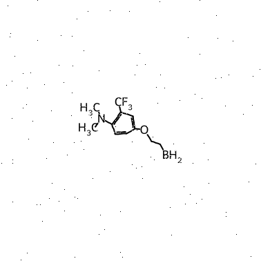 BCCOc1ccc(N(C)C)c(C(F)(F)F)c1